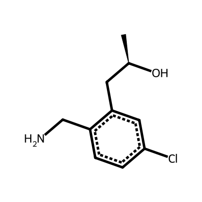 C[C@@H](O)Cc1cc(Cl)ccc1CN